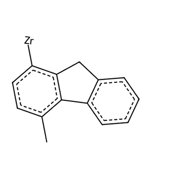 Cc1cc[c]([Zr])c2c1-c1ccccc1C2